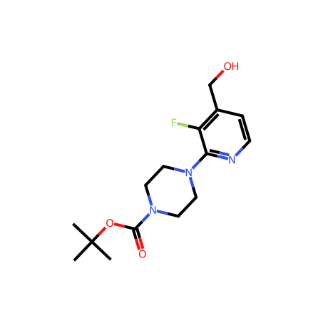 CC(C)(C)OC(=O)N1CCN(c2nccc(CO)c2F)CC1